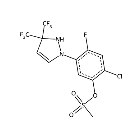 CS(=O)(=O)Oc1cc(N2C=CC(C(F)(F)F)(C(F)(F)F)N2)c(F)cc1Cl